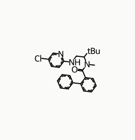 CN(C(=O)c1ccccc1-c1ccccc1)C(CNc1ccc(Cl)cn1)C(C)(C)C